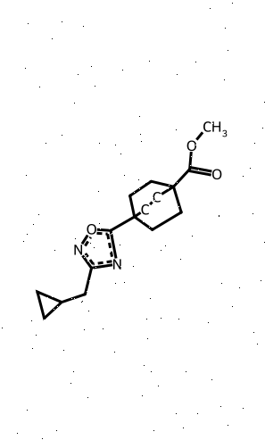 COC(=O)C12CCC(c3nc(CC4CC4)no3)(CC1)CC2